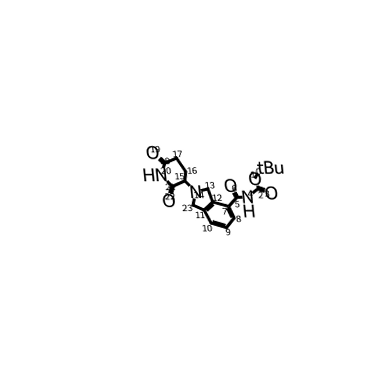 CC(C)(C)OC(=O)NC(=O)c1cccc2c1CN(C1CCC(=O)NC1=O)C2